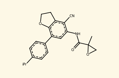 CC(C)c1ccc(-c2cc(NC(=O)C3(C)CO3)c(C#N)c3c2OCC3)cc1